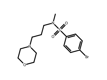 CN(CCCN1CCOCC1)S(=O)(=O)c1ccc(Br)cc1